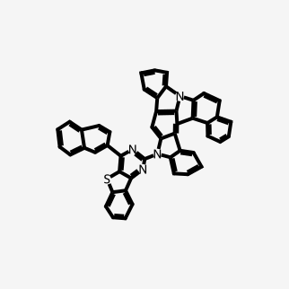 c1ccc2cc(-c3nc(-n4c5ccccc5c5c6c7c8ccccc8ccc7n7c8ccccc8c(cc54)c67)nc4c3sc3ccccc34)ccc2c1